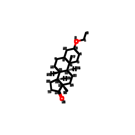 CCOC1CC[C@@]2(C)C(CC[C@@H]3[C@@H]2CC[C@]2(C)C(=O)CC[C@@H]32)C1